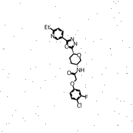 CCc1ccc(-c2nnc([C@@H]3CC[C@@H](NC(=O)COc4ccc(Cl)c(F)c4)CO3)o2)cn1